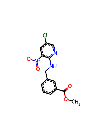 COC(=O)c1cccc(CNc2ncc(Cl)cc2[N+](=O)[O-])c1